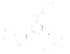 CC(C)(C)OC(=O)c1cc(NC(=O)CN)cc(C(=O)OC(C)(C)C)c1